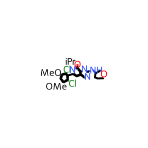 COc1cc(OC)c(Cl)c(-c2cc3cnc(NC4CCCOC4)nc3c(OC(C)C)n2)c1Cl